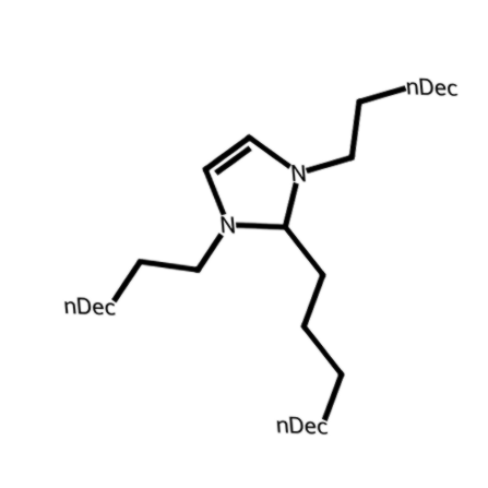 CCCCCCCCCCCCCC1N(CCCCCCCCCCCC)C=CN1CCCCCCCCCCCC